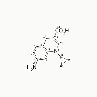 Nc1ccc2c(c1)N(C1CC1)C=C(C(=O)O)C2